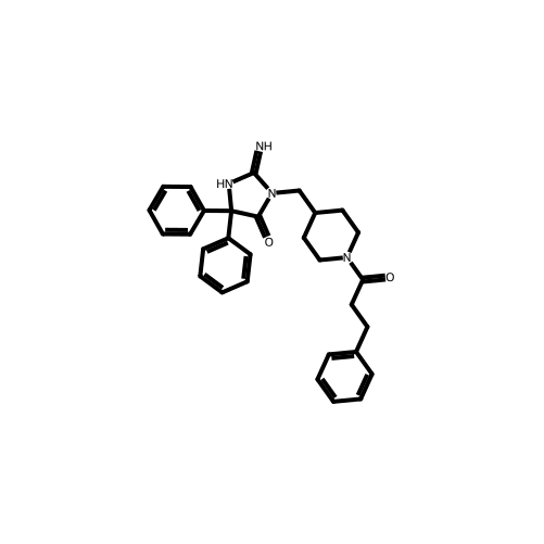 N=C1NC(c2ccccc2)(c2ccccc2)C(=O)N1CC1CCN(C(=O)CCc2ccccc2)CC1